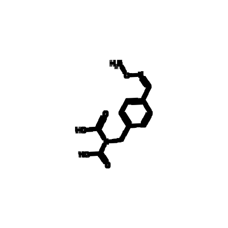 NO/N=C\c1ccc(CN(C(=O)O)C(=O)O)cc1